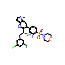 N[C@@H](Cc1cc(F)cc(F)c1)c1nc2cc[nH]c2cc1-c1ccc(S(=O)(=O)N2CCOCC2)cc1